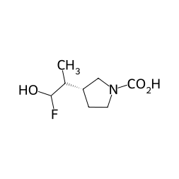 CC(C(O)F)[C@H]1CCN(C(=O)O)C1